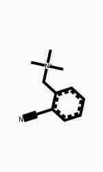 C[N+](C)(C)Cc1ccccc1C#N